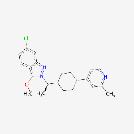 COc1c2ccc(Cl)cc2nn1[C@H](C)C1CCC(c2ccnc(C)c2)CC1